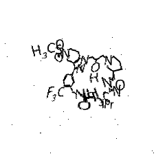 Cc1noc(C2CCCN(CC(O)Cn3nc(-c4ccc(C(F)(F)F)c(CNC(=O)CC(C)C)c4)c4c3CCN(S(C)(=O)=O)C4)C2)n1